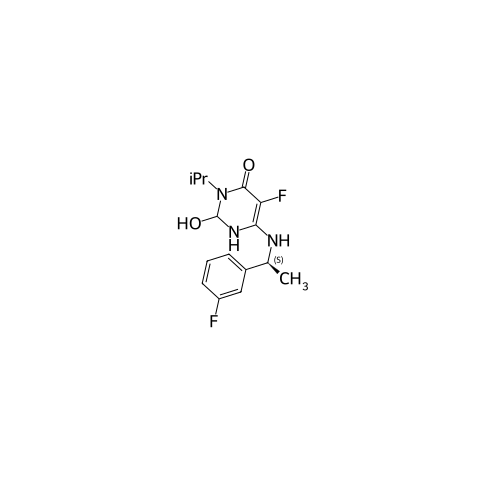 CC(C)N1C(=O)C(F)=C(N[C@@H](C)c2cccc(F)c2)NC1O